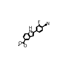 COC(=O)c1ccc2[nH]c(-c3ccc(C#N)c(F)c3)cc2c1